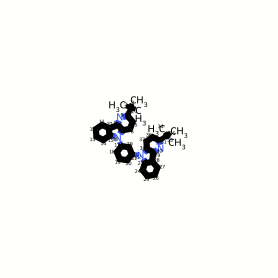 CC(C)(C)c1ccc2c(n1)c1ccccc1n2-c1cccc(-n2c3ccccc3c3nc(C(C)(C)C)ccc32)c1